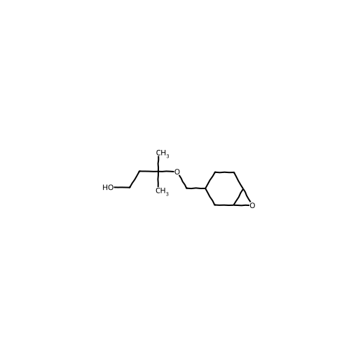 CC(C)(CCO)OCC1CCC2OC2C1